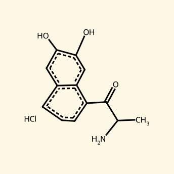 CC(N)C(=O)c1cccc2cc(O)c(O)cc12.Cl